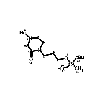 CC(C)(C)N1CCN(CCCO[Si](C)(C)C(C)(C)C)C(=O)C1